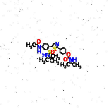 CC(=O)Nc1ccc(-c2cnc(-c3ccc(OC(=O)NC(C)C)cc3)s2)c([S+]([O-])NC(C)(C)C)c1